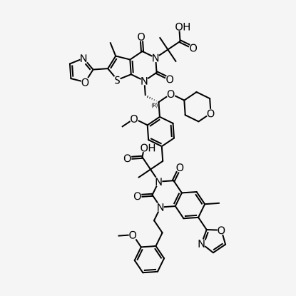 COc1ccccc1CCn1c(=O)n(C(C)(Cc2ccc([C@H](Cn3c(=O)n(C(C)(C)C(=O)O)c(=O)c4c(C)c(-c5ncco5)sc43)OC3CCOCC3)c(OC)c2)C(=O)O)c(=O)c2cc(C)c(-c3ncco3)cc21